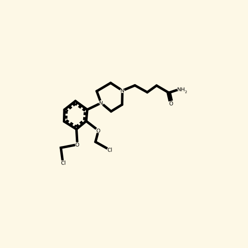 NC(=O)CCCN1CCN(c2cccc(OCCl)c2OCCl)CC1